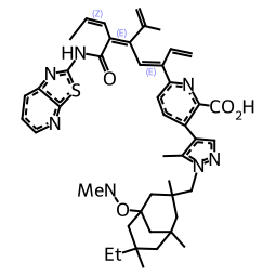 C=C\C(=C/C(C(=C)C)=C(/C=C\C)C(=O)Nc1nc2cccnc2s1)c1ccc(-c2cnn(CC3(C)CC4(C)CC(C)(CC)CC(ONC)(C3)C4)c2C)c(C(=O)O)n1